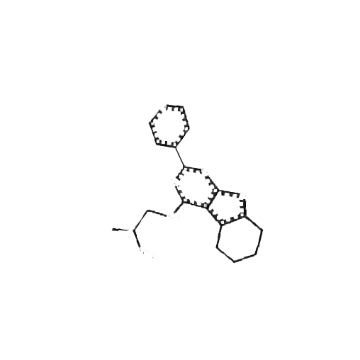 C[C@H](N)CNc1nc(-c2ccncc2)nc2sc3c(c12)CCCC3